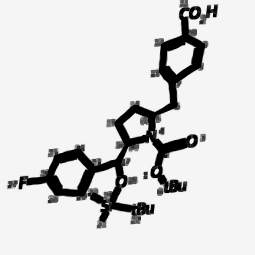 CC(C)(C)OC(=O)N1[C@H](Cc2ccc(C(=O)O)cc2)CC[C@@H]1C(O[Si](C)(C)C(C)(C)C)c1ccc(F)cc1